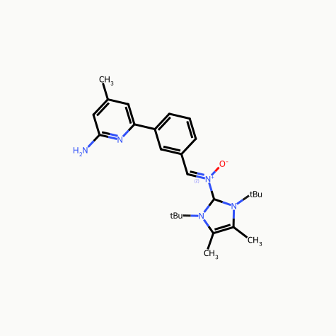 CC1=C(C)N(C(C)(C)C)C(/[N+]([O-])=C/c2cccc(-c3cc(C)cc(N)n3)c2)N1C(C)(C)C